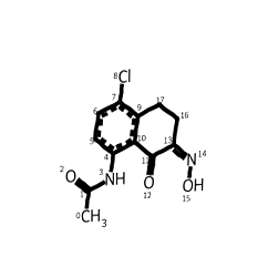 CC(=O)Nc1ccc(Cl)c2c1C(=O)C(=NO)CC2